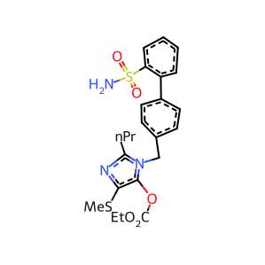 CCCc1nc(SC)c(OC(=O)OCC)n1Cc1ccc(-c2ccccc2S(N)(=O)=O)cc1